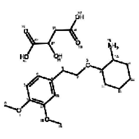 COc1ccc(CCOC2CCCCC2N)cc1OC.O=C(O)CC(O)C(=O)O